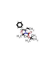 C=C[C@@H]1[C@@H](c2ccccc2)OC(C)(C)N1C(=O)OC(C)(C)C